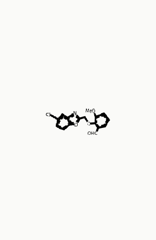 COc1cccc(C=O)c1OCc1nc2cc(Cl)ccc2o1